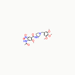 COc1cc(NC(C)=O)c([N+](=O)[O-])cc1C(=O)NC1CCN(Cc2cc(OC)c(OC)c(OC)c2)CC1